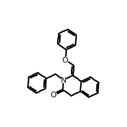 O=C1Cc2ccccc2/C(=C/Oc2ccccc2)N1Cc1ccccc1